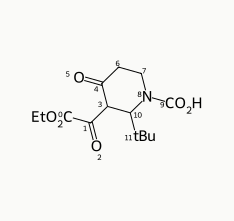 CCOC(=O)C(=O)C1C(=O)CCN(C(=O)O)C1C(C)(C)C